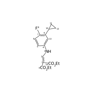 CCOC(=O)C(=CNc1ccc(F)c(C2CC2)c1)C(=O)OCC